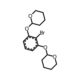 Brc1c(OC2CCCCO2)cccc1OC1CCCCO1